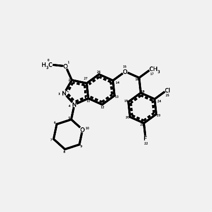 COc1nn(C2CCCCO2)c2ccc(OC(C)c3ccc(F)cc3Cl)cc12